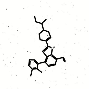 C=Cc1ccc(-c2cccc(C)c2C)c2cc(C3=CCC(C(C)CC)CC3)[nH]c12